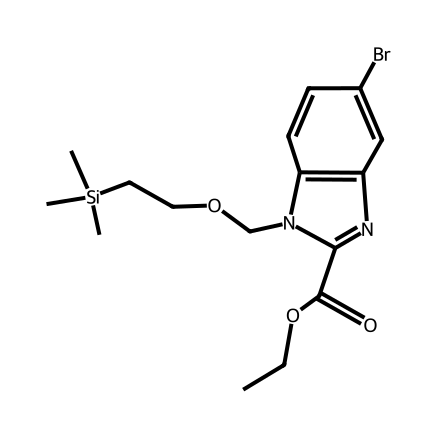 CCOC(=O)c1nc2cc(Br)ccc2n1COCC[Si](C)(C)C